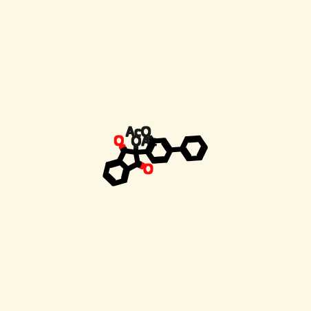 CC(=O)Oc1cc(-c2ccccc2)ccc1C1(OC(C)=O)C(=O)c2ccccc2C1=O